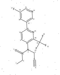 C#CCN(C(=O)CC)c1ccc(-c2cncc(F)c2)nc1C(F)(F)F